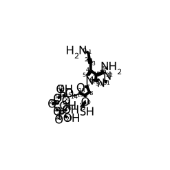 NCC#Cc1cn([C@H]2CC(OCS)[C@@H](COP(=O)(O)OP(=O)(O)OP(=O)(O)O)O2)c2ncnc(N)c12